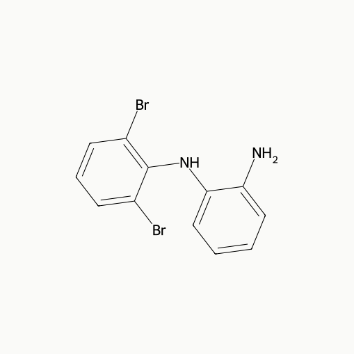 Nc1ccccc1Nc1c(Br)cccc1Br